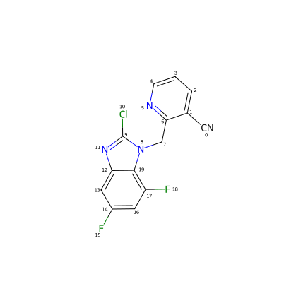 N#Cc1cccnc1Cn1c(Cl)nc2cc(F)cc(F)c21